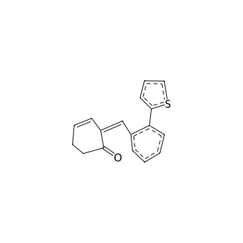 O=C1CCC=CC1=Cc1ccccc1-c1cccs1